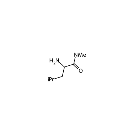 CNC(=O)C(N)CC(C)C